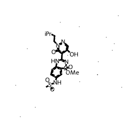 COP1(=O)N=C(c2c(O)cnn(CCC(C)C)c2=O)Nc2ccc(NS(C)(=O)=O)cc21